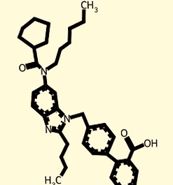 CCCCCCN(C(=O)C1CCCCC1)c1ccc2nc(CCCC)n(Cc3ccc(-c4ccccc4C(=O)O)cc3)c2c1